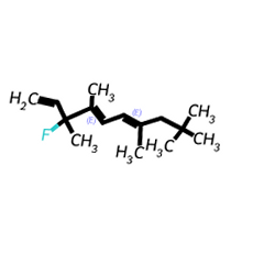 C=CC(C)(F)/C(C)=C/C=C(\C)CC(C)(C)C